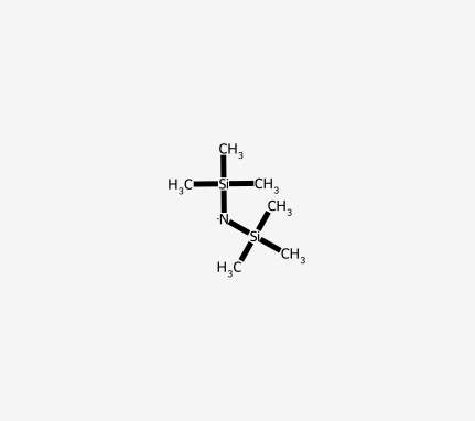 C[Si](C)(C)[N][Si](C)(C)C